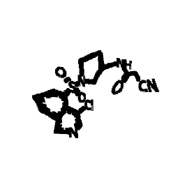 N#CCC(=O)NC1CCN(S(=O)(=O)c2cccc3cncc(Cl)c23)C1